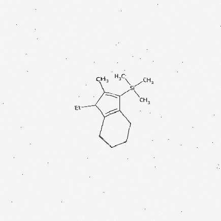 CCC1C(C)=C([Si](C)(C)C)C2=C1CCCC2